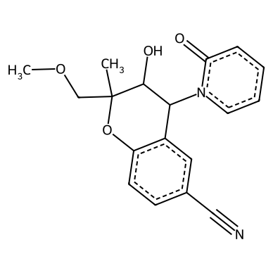 COCC1(C)Oc2ccc(C#N)cc2C(n2ccccc2=O)C1O